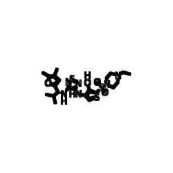 CCN1CCN(S(=O)(=O)c2scc(Nc3nsnc3N[C@@H](c3cc(C)c(C)o3)C(C)C)c2O)CC1